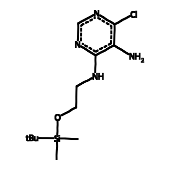 CC(C)(C)[Si](C)(C)OCCNc1ncnc(Cl)c1N